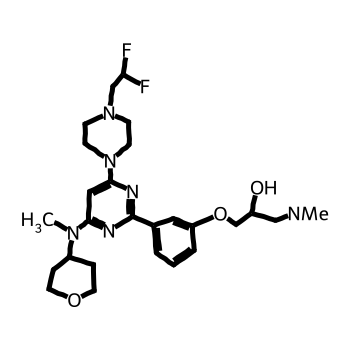 CNCC(O)COc1cccc(-c2nc(N3CCN(CC(F)F)CC3)cc(N(C)C3CCOCC3)n2)c1